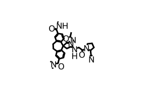 CNC(=O)c1ccc2c(c1)CCc1cc(C(=O)N(C)C)ccc1C2(CCNCC(=O)N1CCCC1C#N)c1nnc(C)o1